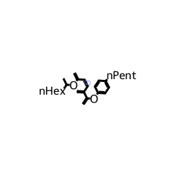 C=C(/C=C\C(=C)C(=C)Oc1ccc(CCCCC)cc1)OC(C)CCCCCC